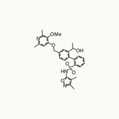 COc1c(OCc2ccc(-c3ccccc3S(=O)(=O)Nc3onc(C)c3C)c(C(C)O)c2)cc(C)nc1C